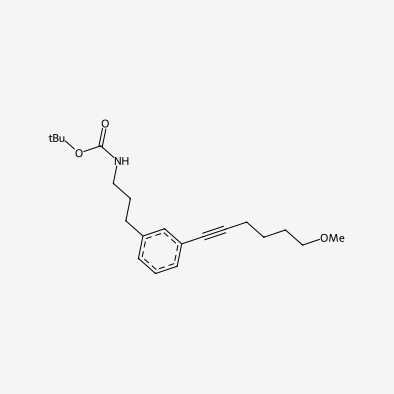 COCCCCC#Cc1cccc(CCCNC(=O)OC(C)(C)C)c1